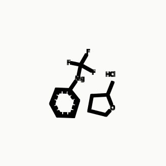 CC1CCCO1.Cl.F[C](F)(F)[Mg][c]1ccccc1